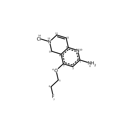 Nc1cc(OCCF)c2c(n1)C=CN(Cl)C2